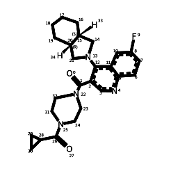 O=C(c1cnc2ccc(F)cc2c1N1C[C@H]2CCCC[C@H]2C1)N1CCN(C(=O)C2CC2)CC1